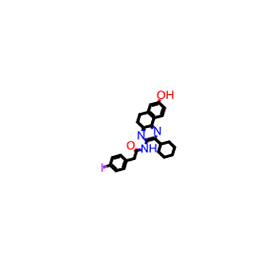 O=C(Cc1ccc(I)cc1)Nc1nc2c(nc1C1CCCCC1)-c1ccc(O)cc1CC2